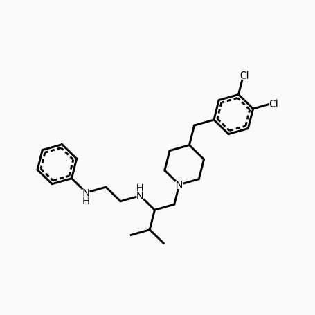 CC(C)C(CN1CCC(Cc2ccc(Cl)c(Cl)c2)CC1)NCCNc1ccccc1